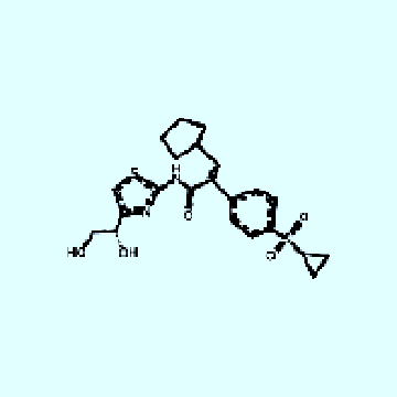 O=C(Nc1nc([C@H](O)CO)cs1)C(=CC1CCCC1)c1ccc(S(=O)(=O)C2CC2)cc1